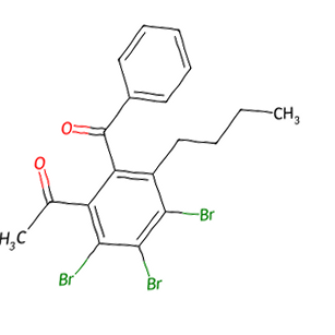 CCCCc1c(Br)c(Br)c(Br)c(C(C)=O)c1C(=O)c1ccccc1